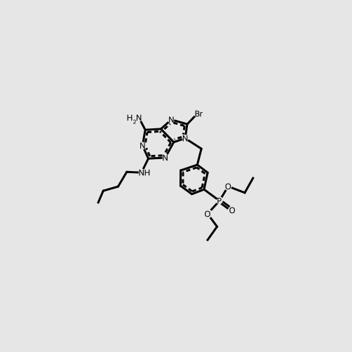 CCCCNc1nc(N)c2nc(Br)n(Cc3cccc(P(=O)(OCC)OCC)c3)c2n1